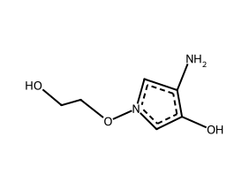 Nc1cn(OCCO)cc1O